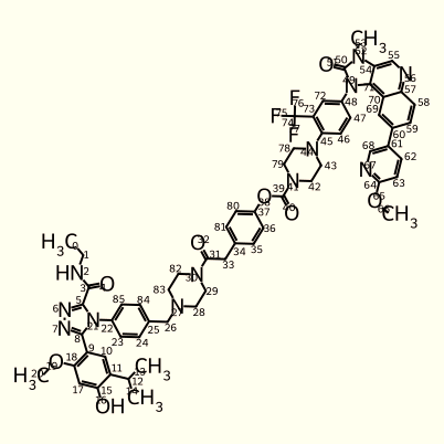 CCNC(=O)c1nnc(-c2cc(C(C)C)c(O)cc2OC)n1-c1ccc(CN2CCN(C(=O)Cc3ccc(OC(=O)N4CCN(c5ccc(-n6c(=O)n(C)c7cnc8ccc(-c9ccc(OC)nc9)cc8c76)cc5C(F)(F)F)CC4)cc3)CC2)cc1